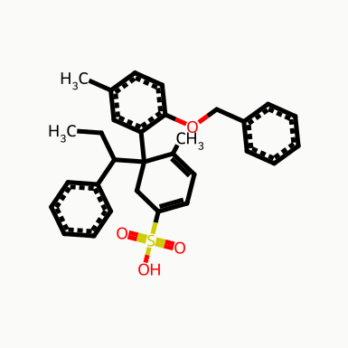 CCC(c1ccccc1)C1(c2cc(C)ccc2OCc2ccccc2)CC(S(=O)(=O)O)=CC=C1C